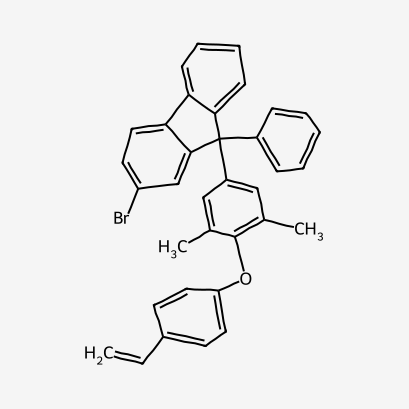 C=Cc1ccc(Oc2c(C)cc(C3(c4ccccc4)c4ccccc4-c4ccc(Br)cc43)cc2C)cc1